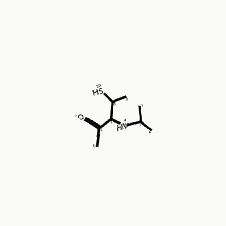 CC(=O)C(NC(C)C)C(C)S